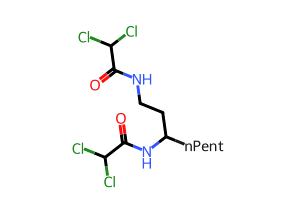 CCCCCC(CCNC(=O)C(Cl)Cl)NC(=O)C(Cl)Cl